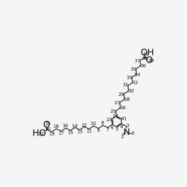 CN(C)Cc1cc(CCCCCCCCCCCCCC(=O)O)cc(CCCCCCCCCCCCCC(=O)O)c1